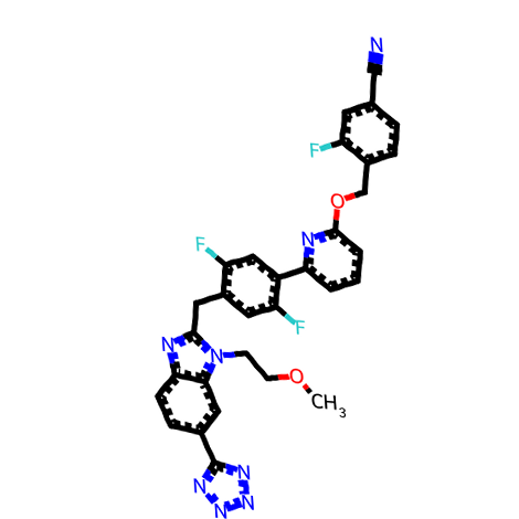 COCCn1c(Cc2cc(F)c(-c3cccc(OCc4ccc(C#N)cc4F)n3)cc2F)nc2ccc(-c3nn[nH]n3)cc21